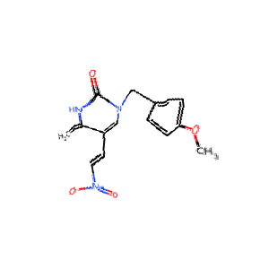 C=C1NC(=O)N(Cc2ccc(OC)cc2)C=C1/C=C/[N+](=O)[O-]